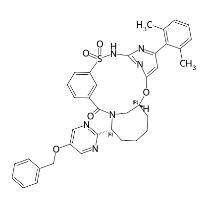 Cc1cccc(C)c1-c1cc2nc(n1)NS(=O)(=O)c1cccc(c1)C(=O)N1C[C@@H](CCCC[C@@H]1c1ncc(OCc3ccccc3)cn1)O2